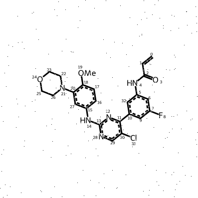 C=CC(=O)Nc1cc(F)cc(-c2nc(Nc3ccc(OC)c(N4CCOCC4)c3)ncc2Cl)c1